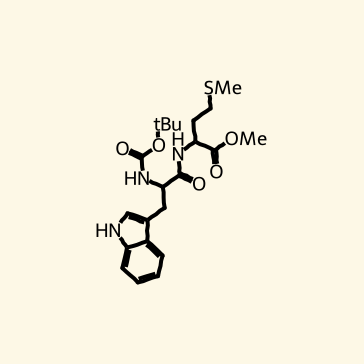 COC(=O)C(CCSC)NC(=O)C(Cc1c[nH]c2ccccc12)NC(=O)OC(C)(C)C